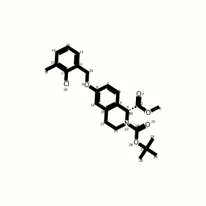 COC(=O)[C@H]1c2ccc(OCc3cccc(C)c3Cl)cc2CCN1C(=O)OC(C)(C)C